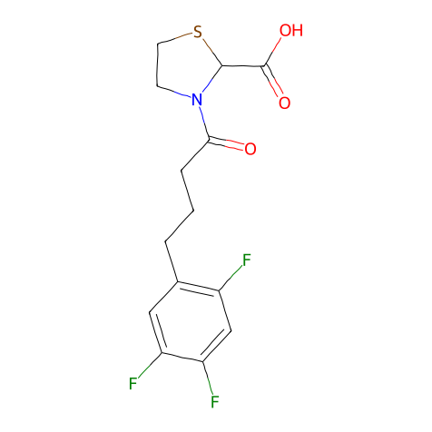 O=C(O)C1SCCN1C(=O)CCCc1cc(F)c(F)cc1F